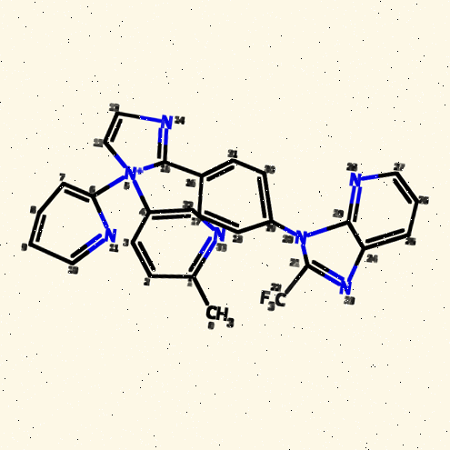 Cc1ccc([N+]2(c3ccccn3)C=CN=C2c2ccc(-n3c(C(F)(F)F)nc4cccnc43)cc2)cn1